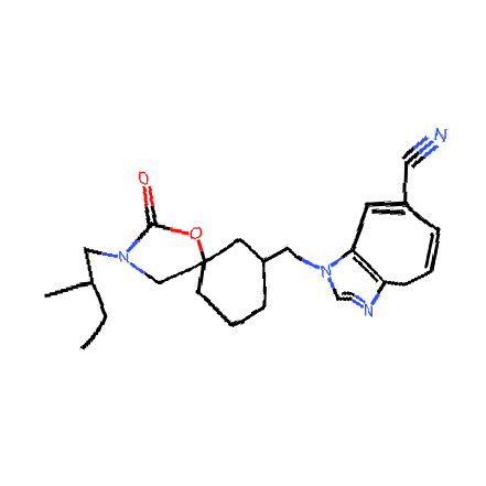 CCC(C)CN1CC2(CCCC(Cn3cnc4ccc(C#N)cc43)C2)OC1=O